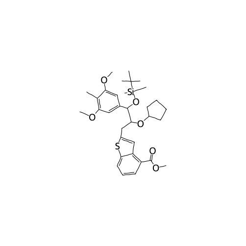 COC(=O)c1cccc2sc(CC(OC3CCCC3)C(O[Si](C)(C)C(C)(C)C)c3cc(OC)c(C)c(OC)c3)cc12